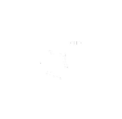 O=C[si]1ccccc1